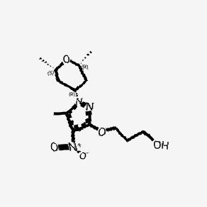 Cc1c([N+](=O)[O-])c(OCCCO)nn1[C@H]1C[C@@H](C)O[C@@H](C)C1